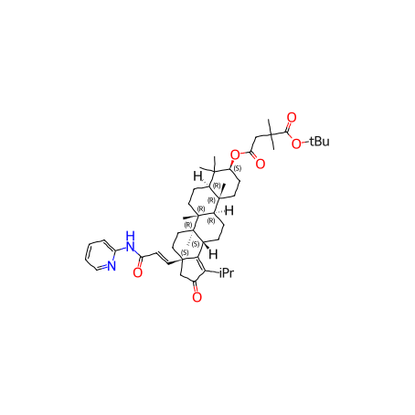 CC(C)C1=C2[C@H]3CC[C@@H]4[C@@]5(C)CC[C@H](OC(=O)CC(C)(C)C(=O)OC(C)(C)C)C(C)(C)[C@@H]5CC[C@@]4(C)[C@]3(C)CC[C@@]2(C=CC(=O)Nc2ccccn2)CC1=O